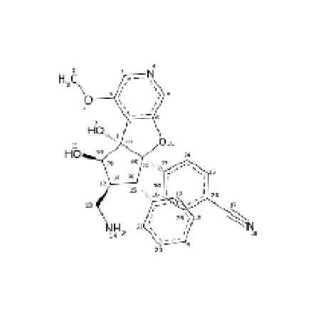 COc1cncc2c1[C@]1(O)[C@H](O)[C@H](CN)[C@@H](c3ccccc3)[C@]1(c1ccc(C#N)cc1)O2